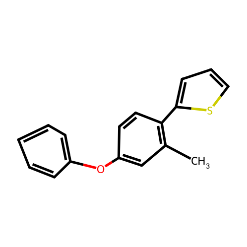 Cc1cc(Oc2ccccc2)ccc1-c1cccs1